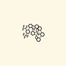 O=C1c2cccc(-n3c4ccccc4c4cccc(-c5ccc(C(F)(F)F)cc5C(F)(F)F)c43)c2C(=O)N1c1c(-c2ccccc2)cccc1-c1ccccc1